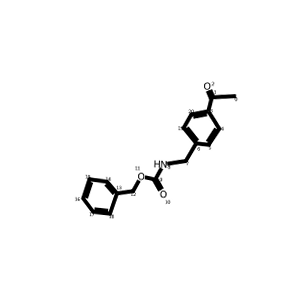 CC(=O)c1ccc(CNC(=O)OCc2ccccc2)cc1